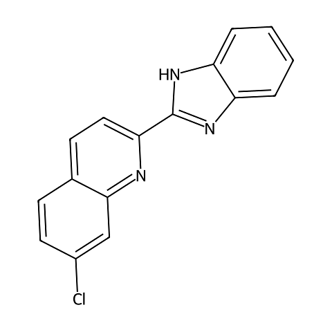 Clc1ccc2ccc(-c3nc4ccccc4[nH]3)nc2c1